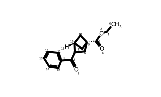 CCOC(=O)[C@]12CC(C(=O)c3ccccc3)[C@@H](C1)C2